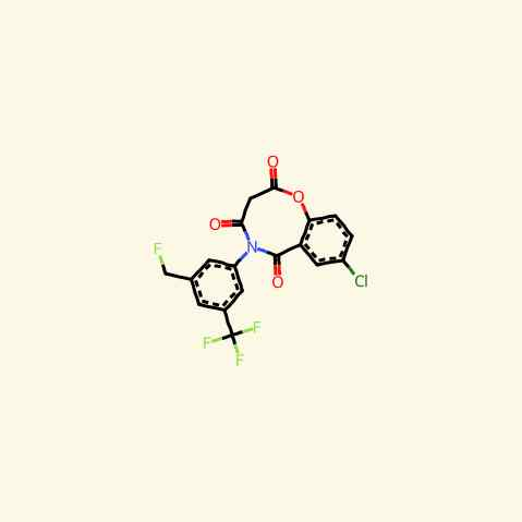 O=C1CC(=O)N(c2cc(CF)cc(C(F)(F)F)c2)C(=O)c2cc(Cl)ccc2O1